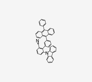 N#Cc1cccc(-n2c3ccccc3c3ccccc32)c1-c1cccc(-c2c3ccccc3c(-c3ccccc3)c3ccccc23)c1